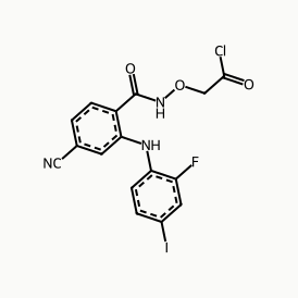 N#Cc1ccc(C(=O)NOCC(=O)Cl)c(Nc2ccc(I)cc2F)c1